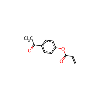 C=CC(=O)Oc1ccc(C(=O)C(Cl)(Cl)Cl)cc1